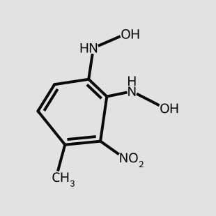 Cc1ccc(NO)c(NO)c1[N+](=O)[O-]